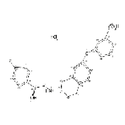 Cc1ccc([C@H](O)CN[C@H]2CCc3ccc(Oc4cccc(C(=O)O)c4)cc3C2)cc1.Cl